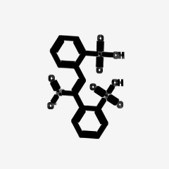 O=[N+]([O-])C(=Cc1ccccc1S(=O)(=O)O)c1ccccc1S(=O)(=O)O